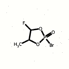 CC1OP(=O)(Br)OC1F